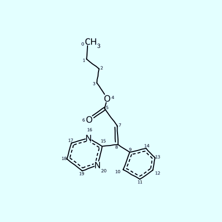 CCCCOC(=O)C=C(c1ccccc1)c1ncccn1